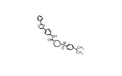 CC(C)c1ccc(S(=O)(=O)N2CCCN(C(=O)Nc3ccc(-c4csc(-c5ccccc5)n4)cc3)CC2)cc1